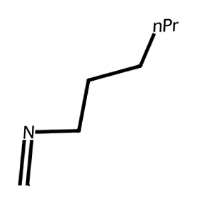 [CH]=NCCCCCC